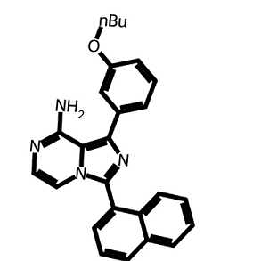 CCCCOc1cccc(-c2nc(-c3cccc4ccccc34)n3ccnc(N)c23)c1